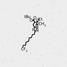 CCOP(C)(=O)C(Cc1nc(CCCCCCCCC(F)(F)F)no1)C(=O)OC(C)(C)C